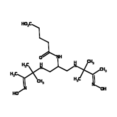 C/C(=N\O)C(C)(C)NCC(CNC(C)(C)/C(C)=N/O)NC(=O)CCCC(=O)O